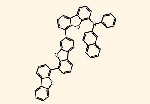 c1ccc(N(c2ccc3ccccc3c2)c2cccc3c2oc2c(-c4ccc5c(c4)oc4c(-c6cccc7c6oc6ccccc67)cccc45)cccc23)cc1